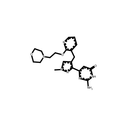 Cn1cc(Cc2cccnc2OCCN2CCOCC2)c(-c2cc(=O)[nH]c(N)n2)n1